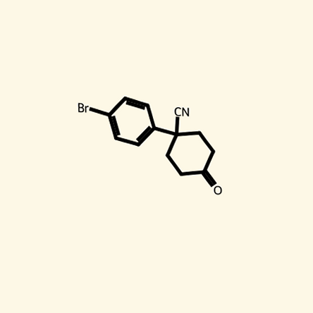 N#CC1(c2ccc(Br)cc2)CCC(=O)CC1